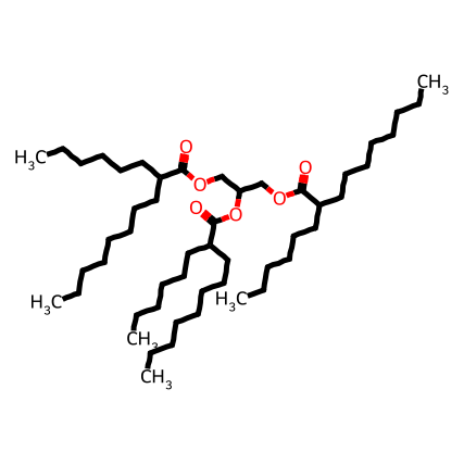 CCCCCCCCC(CCCCCC)C(=O)OCC(COC(=O)C(CCCCCC)CCCCCCCC)OC(=O)C(CCCCCC)CCCCCCCC